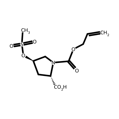 C=CCOC(=O)N1C[C@H](OS(C)(=O)=O)C[C@H]1C(=O)O